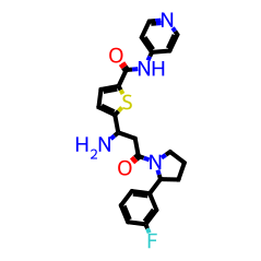 NC(CC(=O)N1CCCC1c1cccc(F)c1)c1ccc(C(=O)Nc2ccncc2)s1